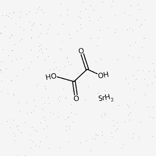 O=C(O)C(=O)O.[SrH2]